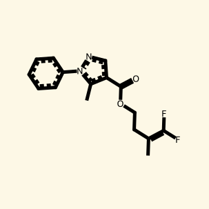 CC(CCOC(=O)c1cnn(-c2ccccc2)c1C)=C(F)F